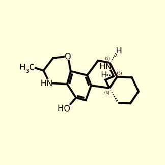 CC1COc2c3c(cc(O)c2N1)[C@]12CCCC[C@@H]1[C@H](C3)NCC2